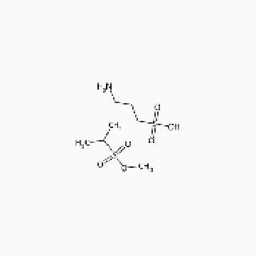 COS(=O)(=O)C(C)C.NCCCS(=O)(=O)O